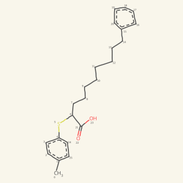 Cc1ccc(SC(CCCCCCCCc2ccccc2)C(=O)O)cc1